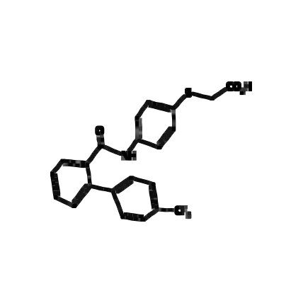 O=C(O)CSc1ccc(NC(=O)c2ccccc2-c2ccc(C(F)(F)F)cc2)cc1